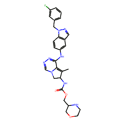 CC1=C2C(Nc3ccc4c(cnn4Cc4cccc(F)c4)c3)=NN=CN2CC1NC(=O)OCC1COCCN1